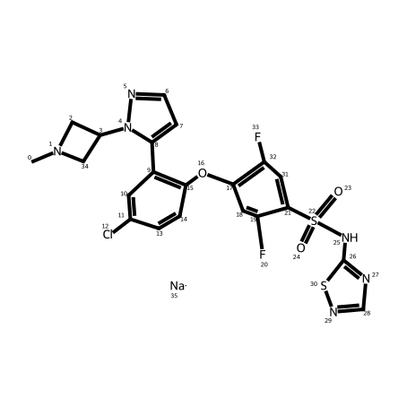 CN1CC(n2nccc2-c2cc(Cl)ccc2Oc2cc(F)c(S(=O)(=O)Nc3ncns3)cc2F)C1.[Na]